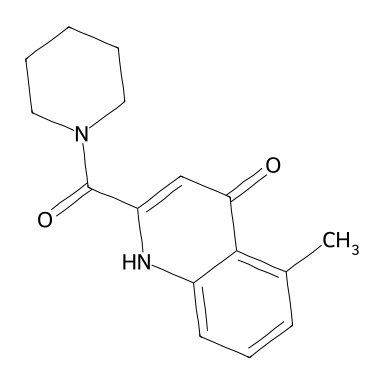 Cc1cccc2[nH]c(C(=O)N3CCCCC3)cc(=O)c12